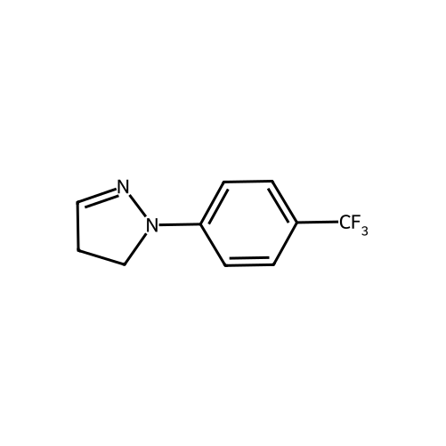 FC(F)(F)c1ccc(N2CCC=N2)cc1